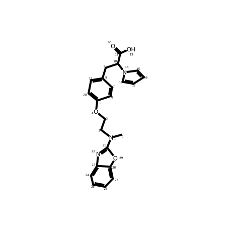 CN(CCOc1ccc(CC(C(=O)O)n2cccc2)cc1)c1nc2ccccc2o1